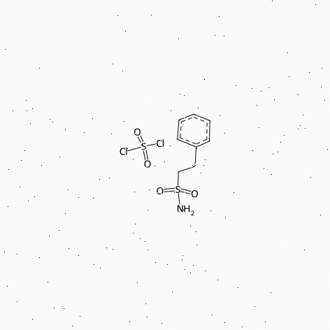 NS(=O)(=O)CCc1ccccc1.O=S(=O)(Cl)Cl